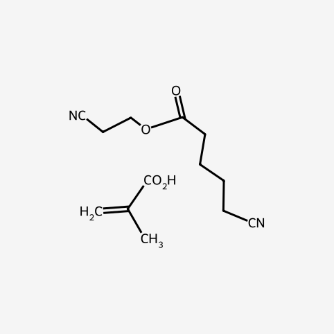 C=C(C)C(=O)O.N#CCCCCC(=O)OCCC#N